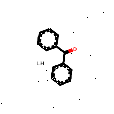 O=C(c1ccccc1)c1ccccc1.[LiH]